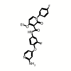 CCOc1ccn(-c2ccc(F)cc2)c(=O)c1C(=O)Nc1ccc(Oc2ccnc(N)c2)c(F)c1